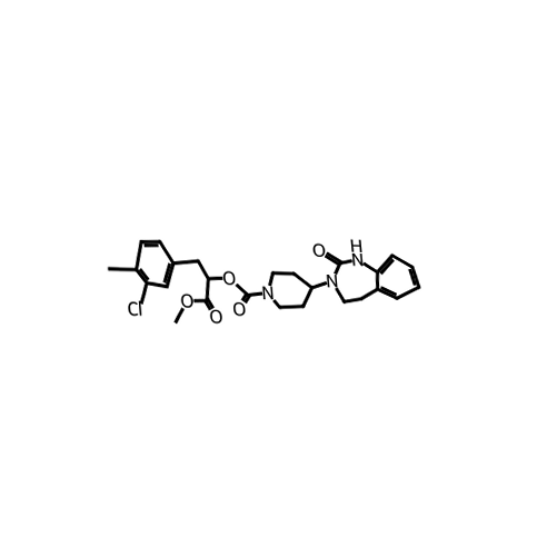 COC(=O)C(Cc1ccc(C)c(Cl)c1)OC(=O)N1CCC(N2CCc3ccccc3NC2=O)CC1